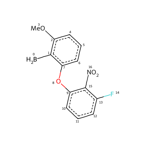 Bc1c(OC)cccc1Oc1cccc(F)c1[N+](=O)[O-]